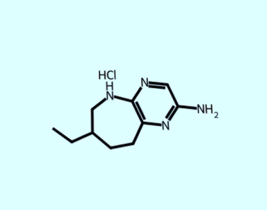 CCC1CCc2nc(N)cnc2NC1.Cl